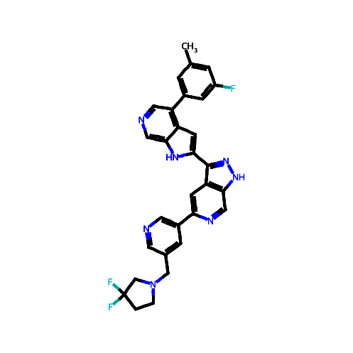 Cc1cc(F)cc(-c2cncc3[nH]c(-c4n[nH]c5cnc(-c6cncc(CN7CCC(F)(F)C7)c6)cc45)cc23)c1